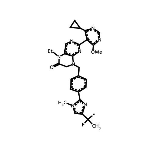 CCN1C(=O)CN(Cc2ccc(-c3nc(C(C)(F)F)cn3C)cc2)c2nc(-c3c(OC)ncnc3C3CC3)ncc21